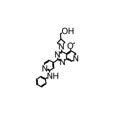 COc1cncc2nc(-c3ccnc(Nc4ccccc4)c3)nc(N3CC(CO)C3)c12